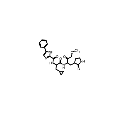 O=C(NC(CC1CC1)C(=O)NC(CC1CCNC1=O)C(=O)COC(F)(F)F)c1ncc(-c2ccccc2)[nH]1